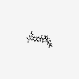 CCCNC(=O)N(CCN(C)C)Cc1ccc(C(=O)Nc2cscc2NC(=O)OC(C)(C)C)nc1